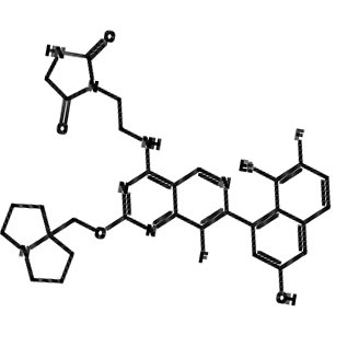 CCc1c(F)ccc2cc(O)cc(-c3ncc4c(NCCN5C(=O)CNC5=O)nc(OCC56CCCN5CCC6)nc4c3F)c12